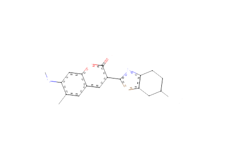 CCNc1cc2oc(=O)c(-c3nc4c(s3)CC(C(=O)OCC)CC4)cc2cc1C